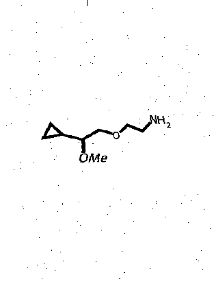 COC(COCCN)C1CC1